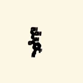 N#Cc1cc(C(=O)NC[C@@H](O)CO)ccc1F